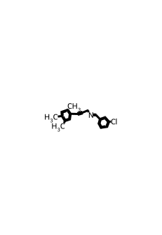 Cc1cc(C)c(C#CCN=Cc2cccc(Cl)c2)cc1C